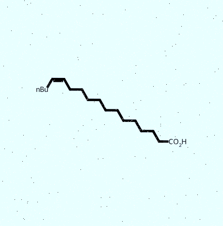 CCCC/C=C\CCCCCCCCCCCC(=O)O